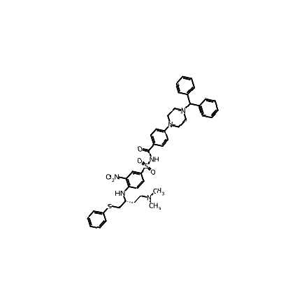 CN(C)CC[C@H](CSc1ccccc1)Nc1ccc(S(=O)(=O)NC(=O)c2ccc(N3CCN(C(c4ccccc4)c4ccccc4)CC3)cc2)cc1[N+](=O)[O-]